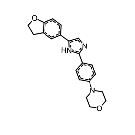 c1cc2c(cc1-c1cnc(-c3ccc(N4CCOCC4)cc3)[nH]1)CCO2